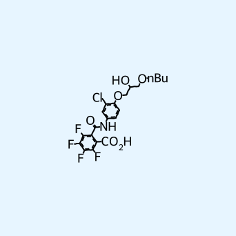 CCCCOCC(O)COc1ccc(NC(=O)c2c(F)c(F)c(F)c(F)c2C(=O)O)cc1Cl